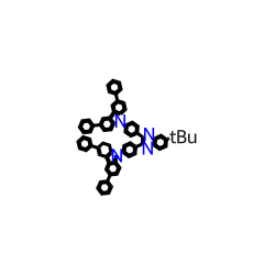 CC(C)(C)c1ccc2nc(-c3ccc(-n4c5c(c6cc(-c7ccccc7)ccc64)C=C(c4ccccc4)CC5)cc3)c(-c3ccc(-n4c5ccc(-c6ccccc6)cc5c5cc(-c6ccccc6)ccc54)cc3)nc2c1